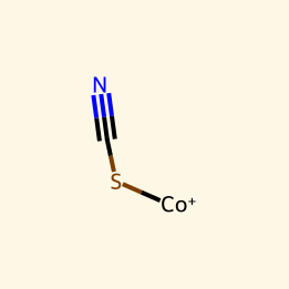 N#C[S][Co+]